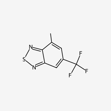 Cc1cc(C(F)(F)F)cc2nsnc12